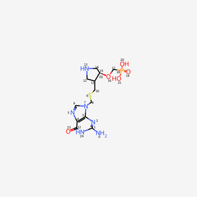 Nc1nc2c(ncn2CSCC2CNC[C@H]2OCP(=O)(O)O)c(=O)[nH]1